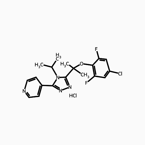 CC(C)n1c(-c2ccncc2)nnc1C(C)(C)Oc1c(F)cc(Cl)cc1F.Cl